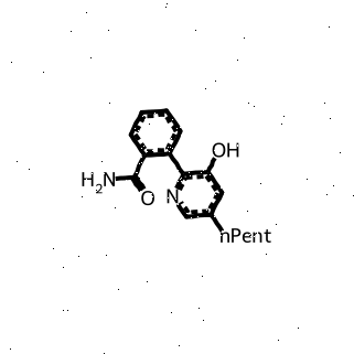 CCCCCc1cnc(-c2ccccc2C(N)=O)c(O)c1